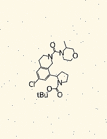 CC1COCCN1C(=O)N1CCc2cc(Cl)cc(C3CCCN3C(=O)OC(C)(C)C)c2C1